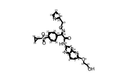 O=C(Nc1nc2ccc(OCCO)nc2s1)/C(=N/OCc1nccs1)c1ccc(S(=O)(=O)C2CC2)cc1